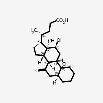 C[C@H](CCC(=O)O)[C@H]1CC[C@H]2[C@@H]3C(=O)C[C@@H]4CCCC[C@]4(C)[C@H]3C[C@H](O)[C@]12C